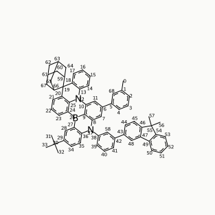 Cc1cccc(-c2cc3c4c(c2)N2c5ccccc5C5(c6cccc(c62)B4c2cc(C(C)(C)C)ccc2N3c2cccc(-c3ccc4c(c3)-c3ccccc3C4(C)C)c2)C2CC3CC(C2)CC5C3)c1